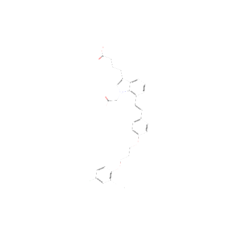 Cc1cc(F)ccc1OCCCOc1ccc(C=Cc2cccc3c(CCCC(=O)O)cn(CC(=O)O)c23)cc1